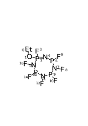 CCOP1(F)=NP(F)N(F)P(F)N(F)P(F)N1F